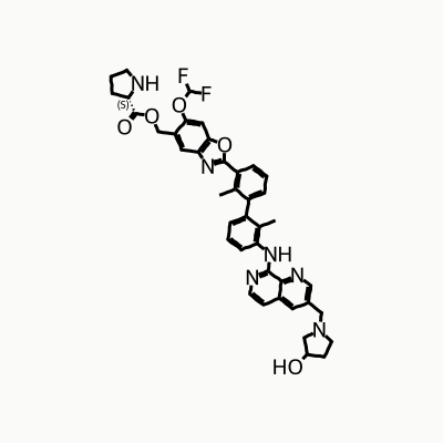 Cc1c(Nc2nccc3cc(CN4CCC(O)C4)cnc23)cccc1-c1cccc(-c2nc3cc(COC(=O)[C@@H]4CCCN4)c(OC(F)F)cc3o2)c1C